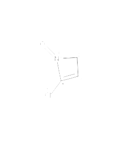 O=[N+]1CC=C1Cl